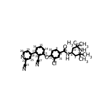 CC1(C)CC(NC(=O)c2ccc(Oc3cccc(-c4ccnc(C#N)c4)c3C#N)c(Cl)c2)CC(C)(C)N1